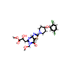 COCn1c(CC(O)C(=O)OC)nc2nc(N3CCC(Oc4cc(F)ccc4Br)CC3)sc2c1=O